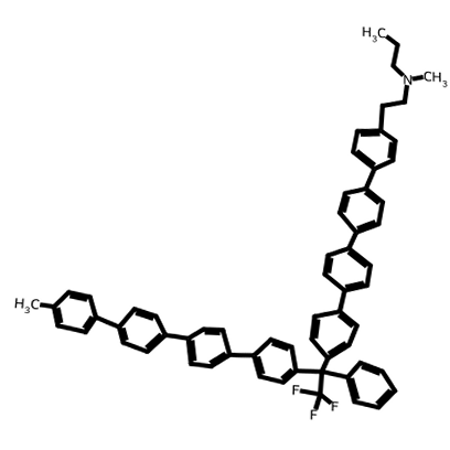 CCCN(C)CCc1ccc(-c2ccc(-c3ccc(-c4ccc(C(c5ccccc5)(c5ccc(-c6ccc(-c7ccc(-c8ccc(C)cc8)cc7)cc6)cc5)C(F)(F)F)cc4)cc3)cc2)cc1